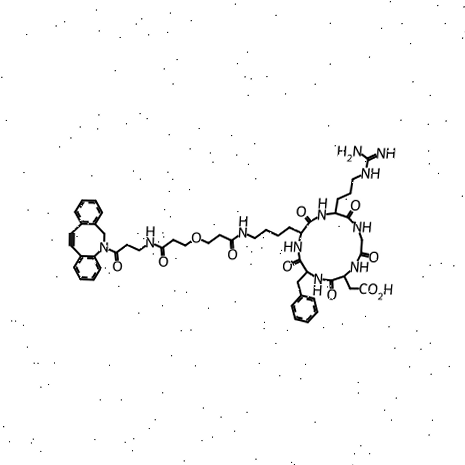 N=C(N)NCCCC1NC(=O)C(CCCCNC(=O)CCOCCC(=O)NCCC(=O)N2Cc3ccccc3C#Cc3ccccc32)NC(=O)C(Cc2ccccc2)NC(=O)C(CC(=O)O)NC(=O)CNC1=O